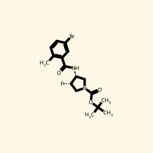 Cc1ccc(Br)cc1C(=O)N[C@@H]1CN(C(=O)OC(C)(C)C)C[C@@H]1F